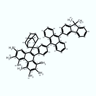 Bc1cc2c3c(c4c(B)c(B)c(B)c(B)c4c2c(B)c1B)-c1ccc(-c2c4ccccc4c(-c4ccc5c(c4)-c4ccccc4C5(C)C)c4ccccc24)cc1C31C2CC3CC(C2)CC1C3